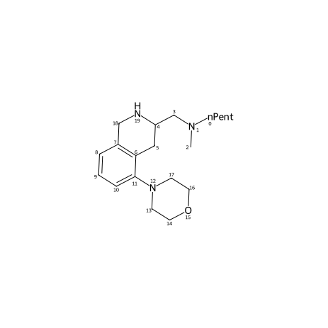 CCCCCN(C)CC1Cc2c(cccc2N2CCOCC2)CN1